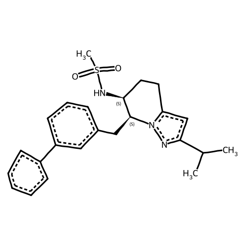 CC(C)c1cc2n(n1)[C@@H](Cc1cccc(-c3ccccc3)c1)[C@@H](NS(C)(=O)=O)CC2